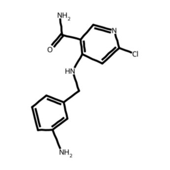 NC(=O)c1cnc(Cl)cc1NCc1cccc(N)c1